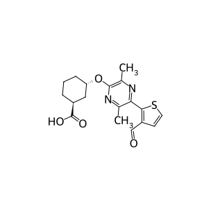 Cc1nc(-c2sccc2C=O)c(C)nc1O[C@H]1CCC[C@H](C(=O)O)C1